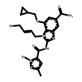 CCn1nc(C)cc1C(=O)Nc1nc2cc(C(N)=O)cc(OCC3CC3)c2n1C/C=C/CN=O